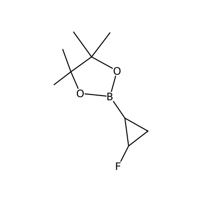 CC1(C)OB(C2CC2F)OC1(C)C